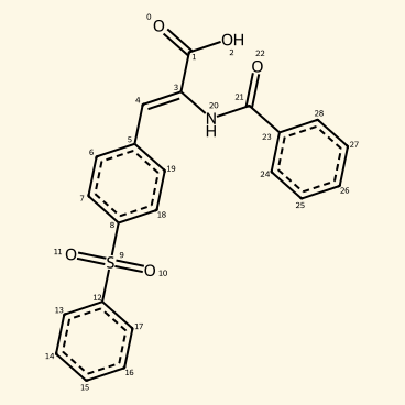 O=C(O)C(=Cc1ccc(S(=O)(=O)c2ccccc2)cc1)NC(=O)c1ccccc1